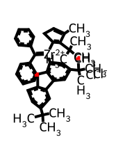 CC1=CC[C]([Zr+2](=[C](c2ccccc2)c2ccccc2)[c]2cc(C(C)(C)C)cc3c2Cc2ccc(C(C)(C)C)cc2-3)=C1C(C)(C)C.[Cl-].[Cl-]